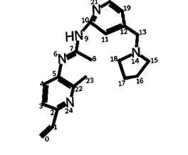 C=Cc1ccc(/N=C(\C)Nc2cc(CN3CCCC3)ccn2)c(C)n1